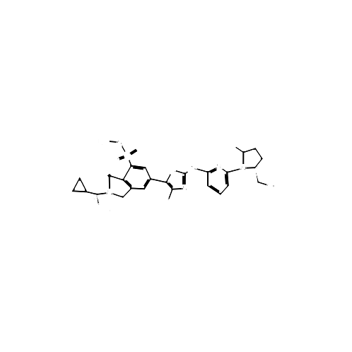 CNS(=O)(=O)c1cc(-c2sc(Nc3cccc(N4C(O)CC[C@H]4CO)n3)nc2C)cc2c1C(=O)N([C@@H](C)C1CC1)C2